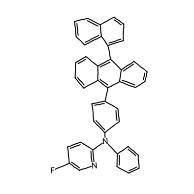 Fc1ccc(N(c2ccccc2)c2ccc(-c3c4ccccc4c(-c4cccc5ccccc45)c4ccccc34)cc2)nc1